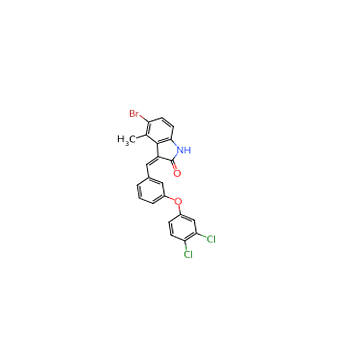 Cc1c(Br)ccc2c1C(=Cc1cccc(Oc3ccc(Cl)c(Cl)c3)c1)C(=O)N2